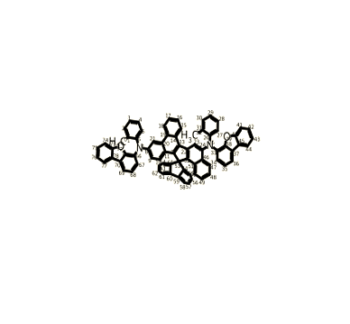 Cc1ccccc1N(c1ccc2c3c(c4ccccc4c2c1)-c1cc(N(c2ccccc2C)c2cccc4c2oc2ccccc24)c2ccccc2c1C31c2ccccc2-c2ccccc21)c1cccc2c1oc1ccccc12